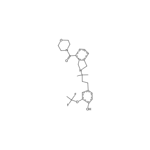 CC(F)(F)Oc1cc(CCC(C)(C)N2Cc3cccc(C(=O)N4CCOCC4)c3C2)ccc1O